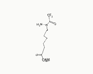 COC(=O)CCCCCN(N)C(=O)C(F)(F)F